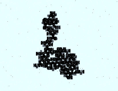 NC(=O)C[C@H](NC(=O)[C@H](CO)NC(=O)[C@H](CC(=O)O)NC(=O)[C@H](CO)NC(=O)CNC(=O)[C@H](CO)NC(=O)CNC(=O)[C@H](CC(=O)O)NC(=O)[C@H](CC(N)=O)NC(=O)[C@@H](N)CO)C(=O)N[C@@H](CC(=O)O)C(=O)NCC(=O)N[C@@H](CO)C(=O)NCC(=O)N[C@@H](CO)C(=O)N[C@@H](CC(=O)O)C(=O)N[C@@H](CO)C(=O)N[C@@H](CC(N)=O)C(=O)N[C@@H](CC(=O)O)C(=O)N[C@@H](CO)C(=O)N[C@@H](CC(=O)O)C(=O)O